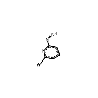 P=Nc1cccc(Br)n1